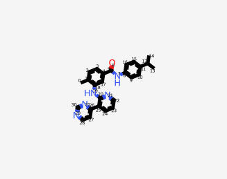 Cc1ccc(C(=O)Nc2ccc(C(C)C)cc2)cc1Nc1ncccc1-c1ccncn1